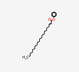 CCCCCCCCCCCCCCCCCC/C=C/C(=O)Oc1ccccc1